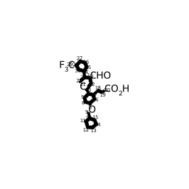 O=Cc1cc(-c2ccc(OCc3ccccc3)cc2C=CC(=O)O)ccc1-c1cccc(C(F)(F)F)c1